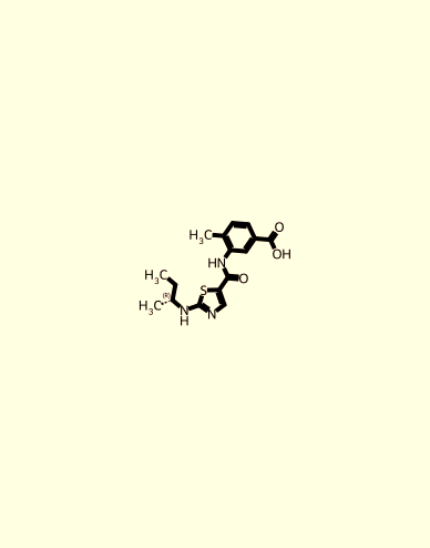 CC[C@@H](C)Nc1ncc(C(=O)Nc2cc(C(=O)O)ccc2C)s1